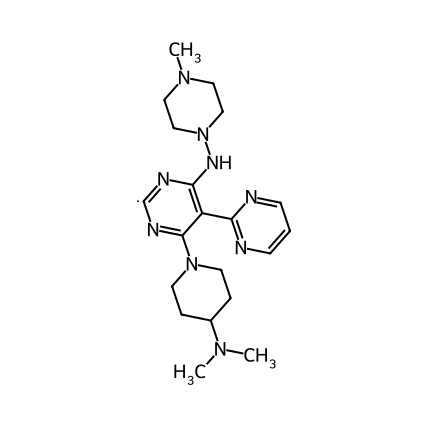 CN1CCN(Nc2n[c]nc(N3CCC(N(C)C)CC3)c2-c2ncccn2)CC1